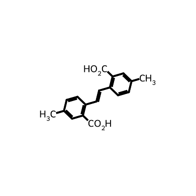 Cc1ccc(/C=C/c2ccc(C)cc2C(=O)O)c(C(=O)O)c1